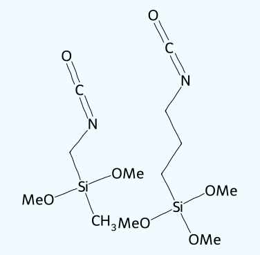 CO[Si](C)(CN=C=O)OC.CO[Si](CCCN=C=O)(OC)OC